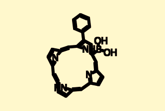 OB(O)C12C=C3C=CC(=N3)C=c3ccc([nH]3)=CC3=NC(=CC(=C(c4ccccc4)C1)N2)C=C3